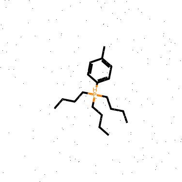 CCCC[PH](CCCC)(CCCC)c1ccc(C)cc1